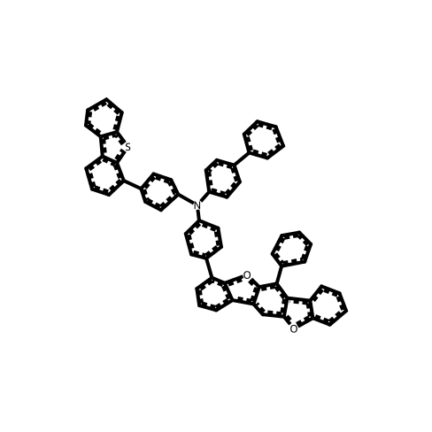 c1ccc(-c2ccc(N(c3ccc(-c4cccc5c4oc4c(-c6ccccc6)c6c(cc45)oc4ccccc46)cc3)c3ccc(-c4cccc5c4sc4ccccc45)cc3)cc2)cc1